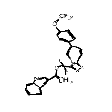 CC(OC(F)(F)c1nnc2ccc(-c3ccc(OC(F)(F)F)cc3)cn12)c1cnc2ccccc2c1